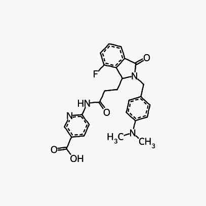 CN(C)c1ccc(CN2C(=O)c3cccc(F)c3C2CCC(=O)Nc2ccc(C(=O)O)cn2)cc1